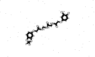 O=C(CNC(=O)COc1ccc(Cl)c(Cl)c1)NCNC(=O)COc1ccc2c(c1)OC(F)(F)O2